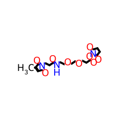 CC1=CC(=O)N(CCC(=O)NCCOCCOCCC(=O)ON2C(=O)CCC2=O)C1=O